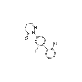 CCc1ccccc1-c1ccc(N2N=CCCC2=O)cc1F